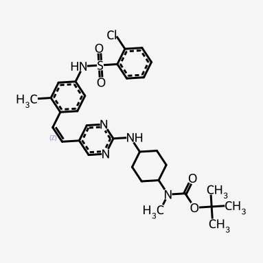 Cc1cc(NS(=O)(=O)c2ccccc2Cl)ccc1/C=C\c1cnc(NC2CCC(N(C)C(=O)OC(C)(C)C)CC2)nc1